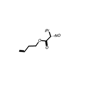 C=CCCOC(=O)[C@@H](N=O)C(C)C